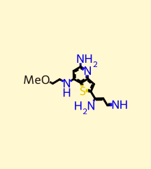 COCCNc1cc(N)nc2cc(/C(N)=C/C=N)sc12